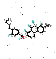 C=CCCc1ccc(C(F)(F)Oc2ccc3c(c2F)C(F)C(F)c2c-3ccc(CCC)c2F)cc1F